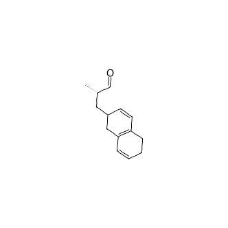 C[C@H](C=O)CC1C=CC2=C(C=CCC2)C1